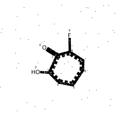 O=c1c(O)ccccc1F